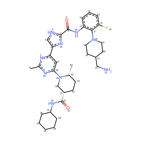 Cc1nc(-c2c[nH]c(C(=O)Nc3cccc(F)c3N3CCC(CN)CC3)n2)cc(N2C[C@@H](C(=O)NC3CCCCC3)CC[C@H]2C)n1